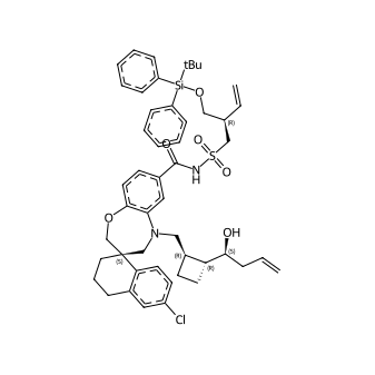 C=CC[C@H](O)[C@@H]1CC[C@H]1CN1C[C@@]2(CCCc3cc(Cl)ccc32)COc2ccc(C(=O)NS(=O)(=O)C[C@H](C=C)CO[Si](c3ccccc3)(c3ccccc3)C(C)(C)C)cc21